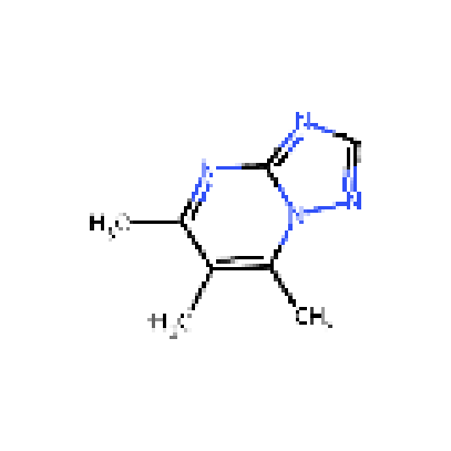 [CH2]c1c(C)nc2ncnn2c1C